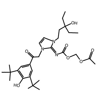 CCC(O)(CC)CCn1ccn(CC(=O)c2cc(C(C)(C)C)c(O)c(C(C)(C)C)c2)/c1=N/C(=O)OCOC(C)=O